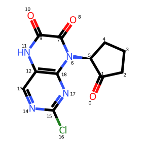 O=C1CCC[C@@H]1n1c(=O)c(=O)[nH]c2cnc(Cl)nc21